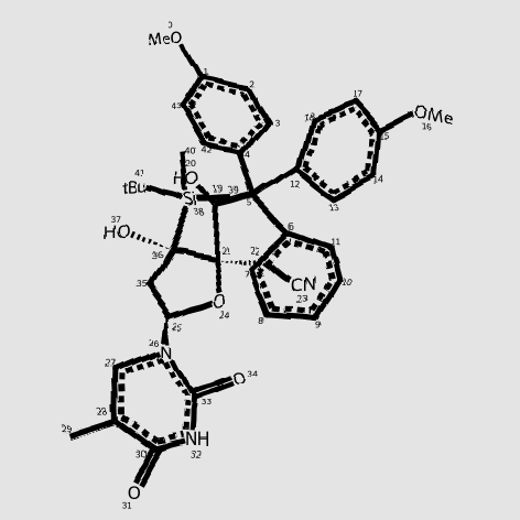 COc1ccc(C(c2ccccc2)(c2ccc(OC)cc2)C(O)[C@@]2(CC#N)O[C@@H](n3cc(C)c(=O)[nH]c3=O)C[C@@]2(O)[Si](C)(C)C(C)(C)C)cc1